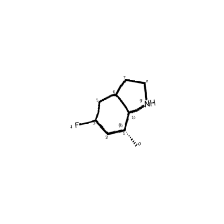 C[C@@H]1CC(F)CC2CCNC21